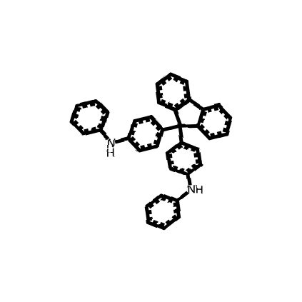 c1ccc(Nc2ccc(C3(c4ccc(Nc5ccccc5)cc4)c4ccccc4-c4ccccc43)cc2)cc1